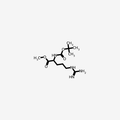 COC(=O)C(CCCNC(=N)N)NC(=O)OC(C)(C)C